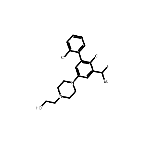 CCC(F)c1cc(N2CCN(CCO)CC2)cc(-c2ccccc2Cl)c1Cl